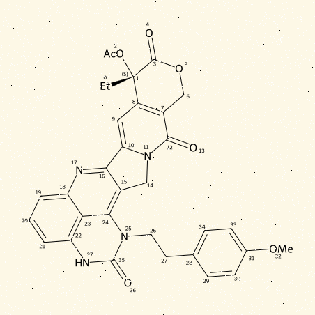 CC[C@@]1(OC(C)=O)C(=O)OCc2c1cc1n(c2=O)Cc2c-1nc1cccc3c1c2N(CCc1ccc(OC)cc1)C(=O)N3